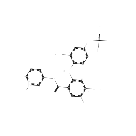 O=C(Nc1ccc[n+]([O-])c1)c1cc(Cl)c(Cl)cc1Oc1ccc(OC(F)(F)F)cc1F